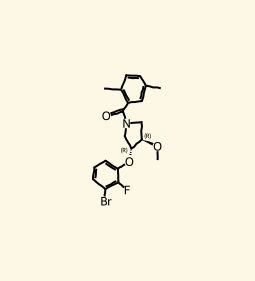 CO[C@@H]1CN(C(=O)c2cc(C)ccc2C)C[C@H]1Oc1cccc(Br)c1F